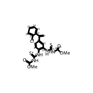 C=C(c1ccc(NC(=S)NC(=O)OC)c(NC(=S)NC(=O)OC)c1)c1ccccc1Cl